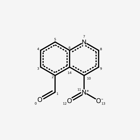 O=Cc1cccc2nccc([N+](=O)[O-])c12